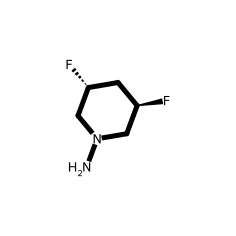 NN1C[C@H](F)C[C@@H](F)C1